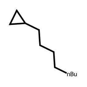 C[CH]CCCCCCC1CC1